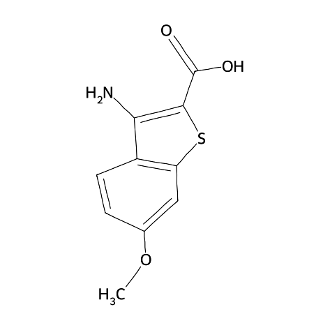 COc1ccc2c(N)c(C(=O)O)sc2c1